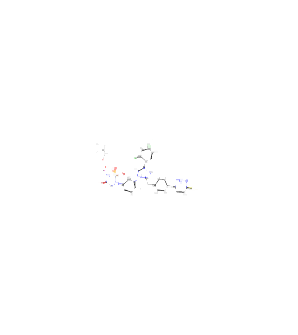 C[Si](C)(C)CCOCN1C(=O)CN(c2cccc(-n3cc(-c4ccc(Cl)cc4Cl)nc3Cc3ccc(-c4ccc(S)nn4)cc3)c2)S1(=O)=O